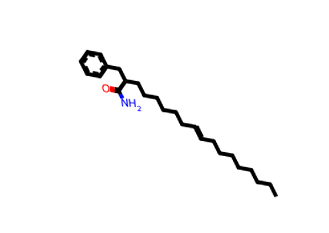 CCCCCCCCC=CCCCCCCC(Cc1ccccc1)C(N)=O